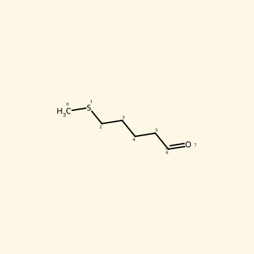 CSCCCC[C]=O